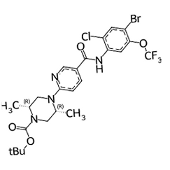 C[C@@H]1CN(c2ccc(C(=O)Nc3cc(OC(F)(F)F)c(Br)cc3Cl)cn2)[C@H](C)CN1C(=O)OC(C)(C)C